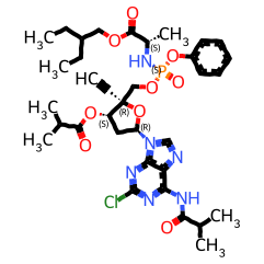 C#C[C@]1(CO[P@@](=O)(N[C@@H](C)C(=O)OCC(CC)CC)Oc2ccccc2)O[C@@H](n2cnc3c(NC(=O)C(C)C)nc(Cl)nc32)C[C@@H]1OC(=O)C(C)C